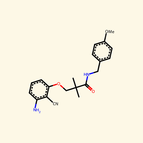 COc1ccc(CNC(=O)C(C)(C)COc2cccc(N)c2C#N)cc1